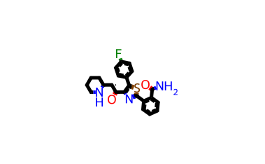 NC(=O)c1ccccc1-c1nc(C(=O)[CH]C2CCCCN2)c(-c2ccc(F)cc2)s1